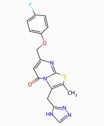 Cc1sc2nc(COc3ccc(F)cc3)cc(=O)n2c1Cc1nnc[nH]1